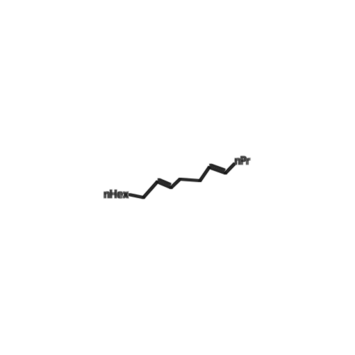 [CH2]CCC=CCCC=CCCCCCCC